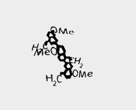 C=Cc1cc(-c2ccc3c(C=C)c(-c4ccc5c(OC)ccc(C=C)c5c4)ccc3c2OC)cc2cc(OC)ccc12